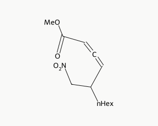 CCCCCCC(C=C=CC(=O)OC)C[N+](=O)[O-]